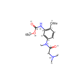 COc1ccc(N(C)C(=O)CN(C)C)cc1NC(=O)OC(C)(C)C